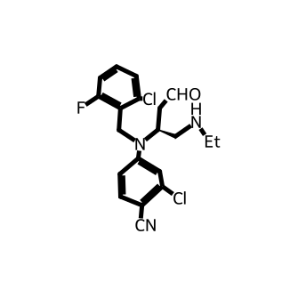 CCNC[C@H](CC=O)N(Cc1c(F)cccc1Cl)c1ccc(C#N)c(Cl)c1